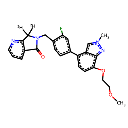 [2H]C1([2H])c2ncccc2C(=O)N1Cc1ccc(-c2ccc(OCCOC)c3nn(C)cc23)cc1F